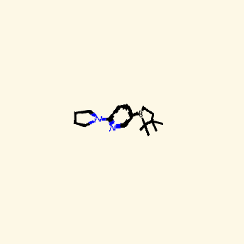 CC1(C)CCB(c2ccc(N3CCCC3)nc2)C1(C)C